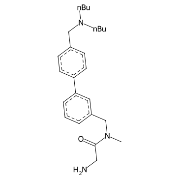 CCCCN(CCCC)Cc1ccc(-c2cccc(CN(C)C(=O)CN)c2)cc1